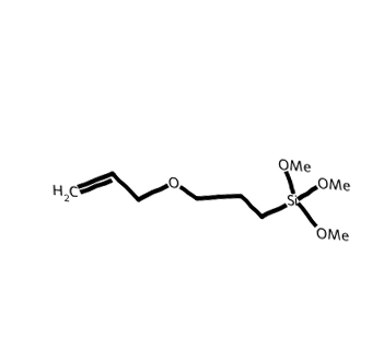 C=CCOCCC[Si](OC)(OC)OC